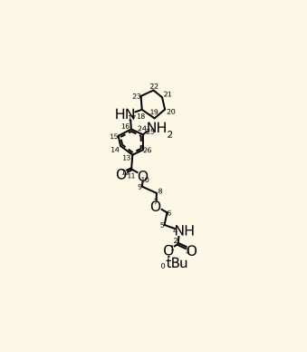 CC(C)(C)OC(=O)NCCOCCOC(=O)c1ccc(NC2CCCCC2)c(N)c1